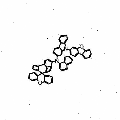 c1ccc2c(c1)Oc1ccccc1C21c2ccccc2-c2ccc(N(c3ccc4c5ccccc5n(-c5ccc6c(c5)oc5ccccc56)c4c3)c3cccc4ccccc34)c3cccc1c23